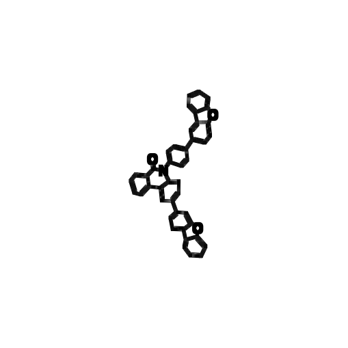 O=c1c2ccccc2c2cc(-c3ccc4c(c3)oc3ccccc34)ccc2n1-c1ccc(-c2ccc3oc4ccccc4c3c2)cc1